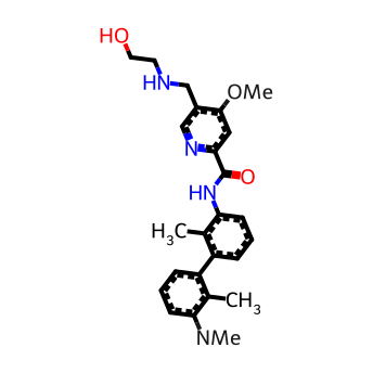 CNc1cccc(-c2cccc(NC(=O)c3cc(OC)c(CNCCO)cn3)c2C)c1C